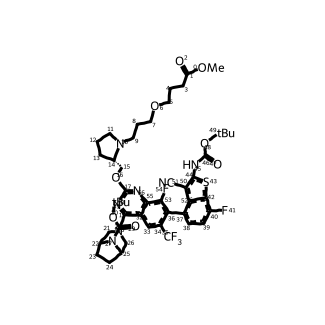 COC(=O)CCCOCCCN1CCC[C@H]1COc1nc(N2CC3CCC(C2)N3C(=O)OC(C)(C)C)c2cc(C(F)(F)F)c(-c3ccc(F)c4sc(NC(=O)OC(C)(C)C)c(C#N)c34)c(F)c2n1